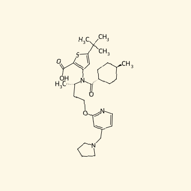 C[C@@H](CCOc1cc(CN2CCCC2)ccn1)N(c1cc(C(C)(C)C)sc1C(=O)O)C(=O)[C@H]1CC[C@H](C)CC1